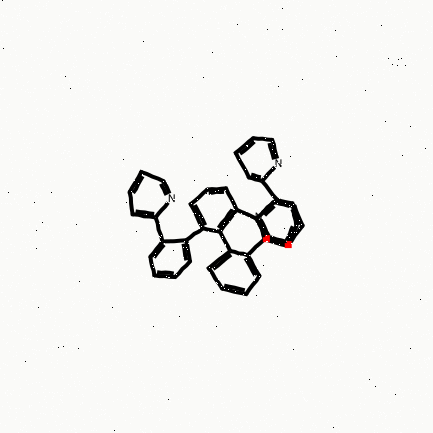 c1ccc(-c2ccccc2-c2cccc(-c3ccccc3-c3ccccn3)c2-c2ccccc2-c2ccccn2)nc1